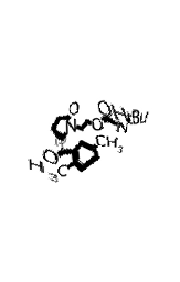 Cc1ccc(C)c(C(=O)[C@@H]2CCC(=O)N2CCOC(=O)NC(C)(C)C)c1